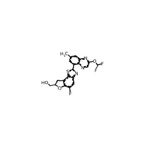 Cc1cc(-c2nc3cc(F)c4c(c3s2)CC(CO)O4)c2ncc(OC(F)F)nc2c1